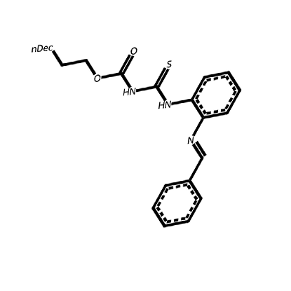 CCCCCCCCCCCCOC(=O)NC(=S)Nc1ccccc1/N=C/c1ccccc1